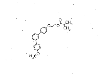 C=C(C)C(=O)OCCOc1ccc(-c2cccc(-c3ccc(OC)cc3)c2)cc1